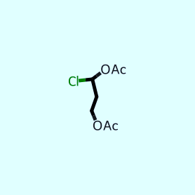 CC(=O)OCCC(Cl)OC(C)=O